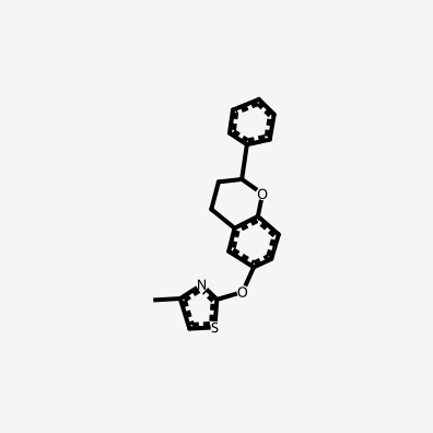 Cc1csc(Oc2ccc3c(c2)CCC(c2ccccc2)O3)n1